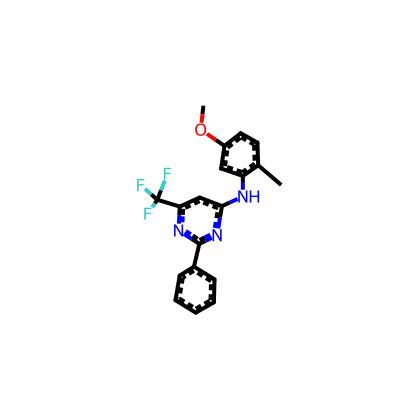 COc1ccc(C)c(Nc2cc(C(F)(F)F)nc(-c3ccccc3)n2)c1